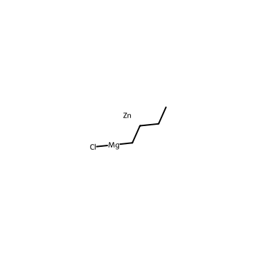 CCC[CH2][Mg][Cl].[Zn]